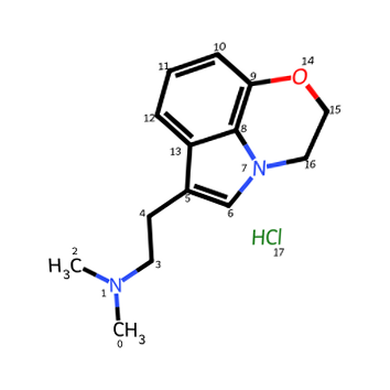 CN(C)CCc1cn2c3c(cccc13)OCC2.Cl